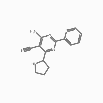 N#Cc1c(N)nc(-c2ccccn2)nc1C1CCCN1